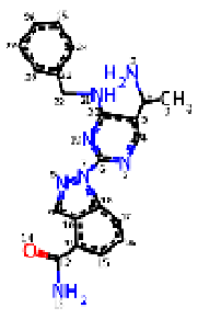 CC(N)c1cnc(-n2ncc3c(C(N)=O)cccc32)nc1NCc1ccccc1